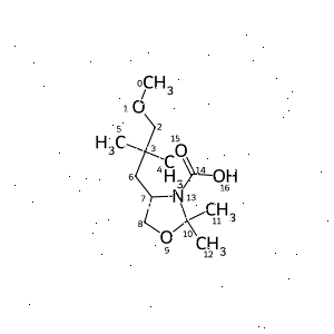 COCC(C)(C)CC1COC(C)(C)N1C(=O)O